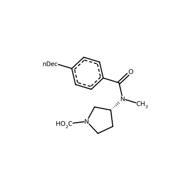 CCCCCCCCCCc1ccc(C(=O)N(C)[C@@H]2CCN(C(=O)O)C2)cc1